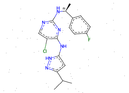 CC(C)c1cc(Nc2nc(N[C@@H](C)c3ccc(F)cc3)ncc2Cl)[nH]n1